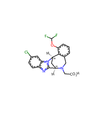 O=C(O)CN1Cc2cccc(OC(F)F)c2[C@H]2C[C@@H]1c1nc3ccc(Cl)cc3n12